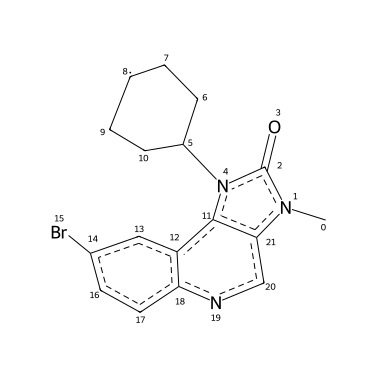 Cn1c(=O)n(C2CC[CH]CC2)c2c3cc(Br)ccc3ncc21